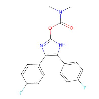 CN(C)C(=O)Oc1nc(-c2ccc(F)cc2)c(-c2ccc(F)cc2)[nH]1